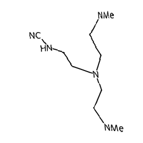 CNCCN(CCNC)CCNC#N